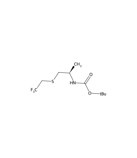 C[C@H](CSCC(F)(F)F)NC(=O)OC(C)(C)C